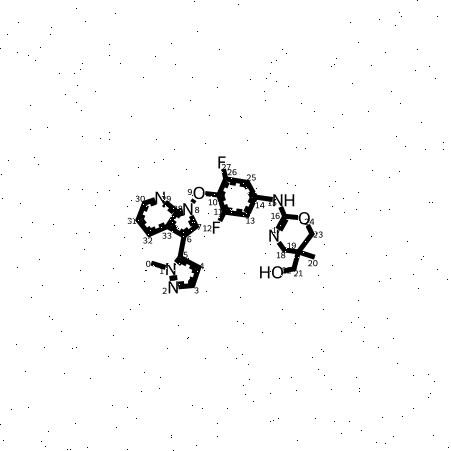 Cn1nccc1-c1cn(Oc2c(F)cc(NC3=NCC(C)(CO)CO3)cc2F)c2ncccc12